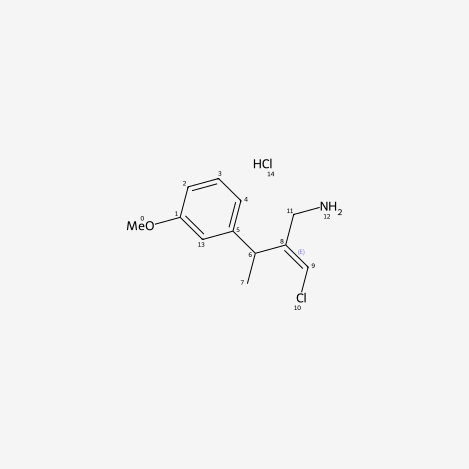 COc1cccc(C(C)/C(=C\Cl)CN)c1.Cl